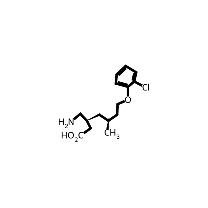 C[C@H](CCOc1ccccc1Cl)C[C@H](CN)CC(=O)O